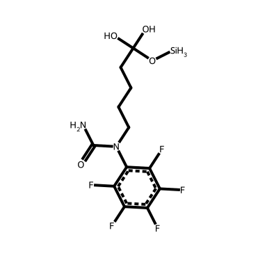 NC(=O)N(CCCCC(O)(O)O[SiH3])c1c(F)c(F)c(F)c(F)c1F